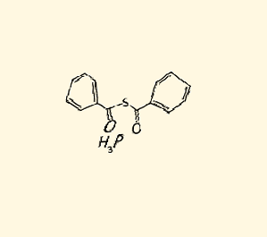 O=C(SC(=O)c1ccccc1)c1ccccc1.P